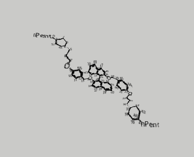 CCCCC[C@H]1CC[C@H](CCCOc2ccc(COc3ccc4ccccc4c3-c3c(OCc4ccc(OCCC[C@H]5CC[C@H](CCCCC)CC5)cc4)ccc4ccccc34)cc2)CC1